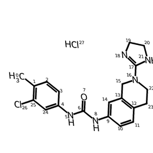 Cc1ccc(NC(=O)Nc2ccc3c(c2)CN(C2=NCCN2)CC3)cc1Cl.Cl